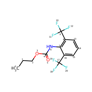 [CH2]CCOC(=O)Nc1c(C(F)(F)F)cccc1C(F)(F)F